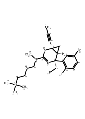 CC#C[C@]12C[C@H]1[C@@](CF)(c1cc(Br)ccc1F)N=C(N(COCC[Si](C)(C)C)C(=O)O)S2